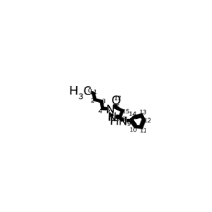 CCCCCN1N=C(Nc2ccccc2)CC1=O